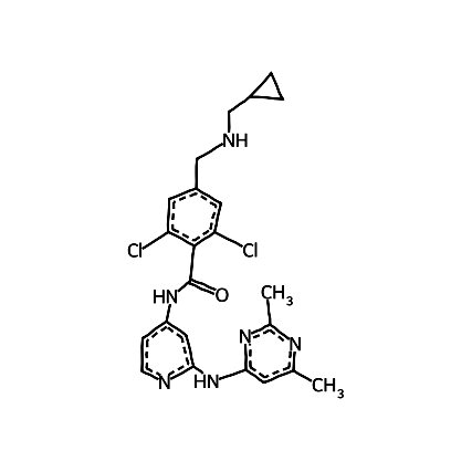 Cc1cc(Nc2cc(NC(=O)c3c(Cl)cc(CNCC4CC4)cc3Cl)ccn2)nc(C)n1